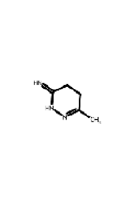 CC1=NNC(=N)CC1